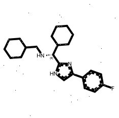 Fc1ccc(-c2c[nH]c([C@H](NCC3CCCCC3)C3CCCCC3)n2)cc1